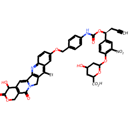 C#CC[C@H](OC(=O)Nc1ccc(COc2ccc3nc4c(c(CC)c3c2)Cn2c-4cc3c(c2=O)COC(=O)C3O)cc1)c1ccc(OC2CC(O)CC(C(=O)O)O2)c([N+](=O)[O-])c1